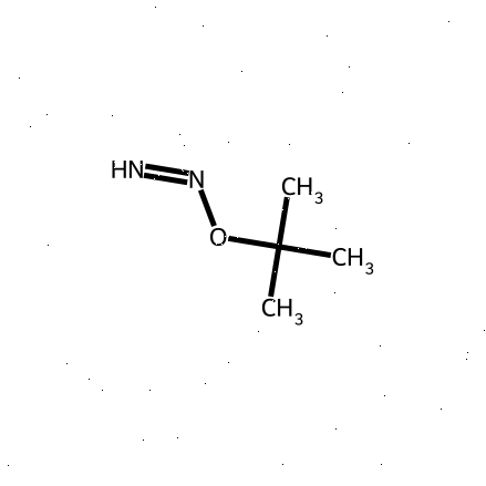 CC(C)(C)ON=N